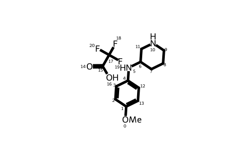 COc1ccc(NC2CCCNC2)cc1.O=C(O)C(F)(F)F